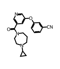 N#Cc1cccc(Oc2cncc(C(=O)N3CCCN(C4CC4)CC3)c2)c1